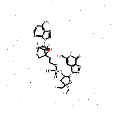 Nc1nc2c(nnn2[C@@H]2O[C@@](CO)(CF)C[C@H]2OP(=O)(S)OCCC23CO[C@@H]([C@H](n4cnc5c(N)ncnc54)O2)[C@@H]3O)c(=O)[nH]1